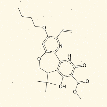 C=Cc1nc2c(cc1OCCCC)OCC(C(C)(C)C)c1c-2[nH]c(=O)c(C(=O)OC)c1O